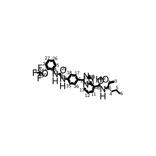 C=C(O)[C@H](CCC)NC(=O)c1cccn2c(-c3ccc(NC(=O)Nc4ccccc4OC(F)(F)F)cc3)nnc12